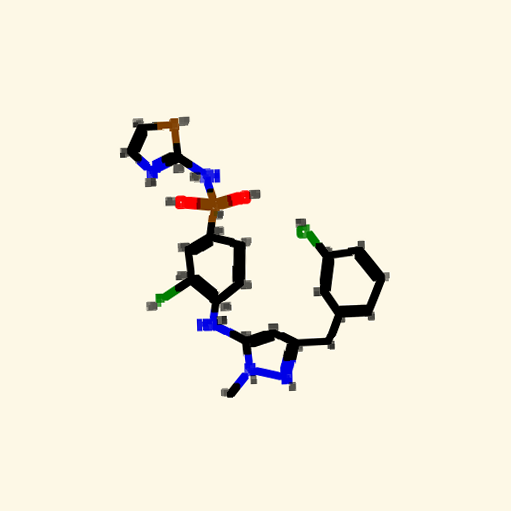 Cn1nc(Cc2cccc(Cl)c2)cc1Nc1ccc(S(=O)(=O)Nc2nccs2)cc1F